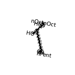 CCCCCCCCC(CCCCCCCC)OC(O)CCCCN(CCO)CCCCCCCCCCCCCC(=O)OCCCCC